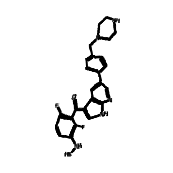 O=C(c1c(F)ccc(NS)c1F)c1c[nH]c2ncc(-c3ccc(CN4CCNCC4)cc3)cc12